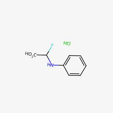 Cl.O=C(O)C(F)Nc1ccccc1